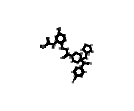 NC(=O)Nc1cc(Cl)ccc1OCC(=O)N1CCC(CN2CCCC2)(C(F)c2ccc(F)cc2)CC1